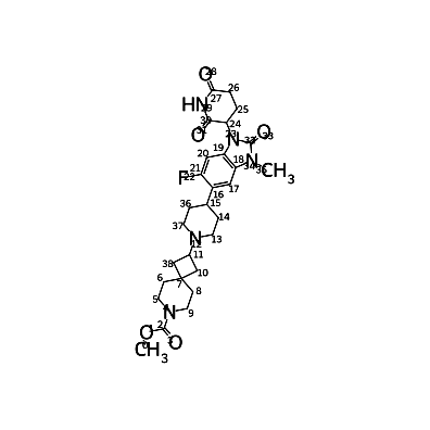 COC(=O)N1CCC2(CC1)CC(N1CCC(c3cc4c(cc3F)n(C3CCC(=O)NC3=O)c(=O)n4C)CC1)C2